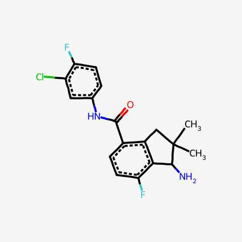 CC1(C)Cc2c(C(=O)Nc3ccc(F)c(Cl)c3)ccc(F)c2C1N